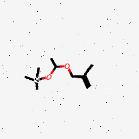 C=C(C)COC(C)O[Si](C)(C)C